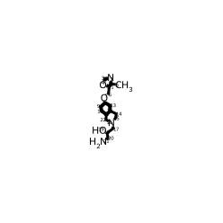 Cc1ncoc1COc1ccc2c(c1)CCN(CC(O)CN)C2